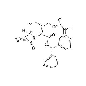 CNC(=O)OCC1=C(C(=O)OC(c2ccccc2)c2ccccc2)N2C(=O)[C@@H](N)[C@H]2SC1